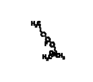 C=CC(=O)N(C)CCCc1ccc(-c2ccc(C3CCC(CCCCC)CC3)cc2F)cc1